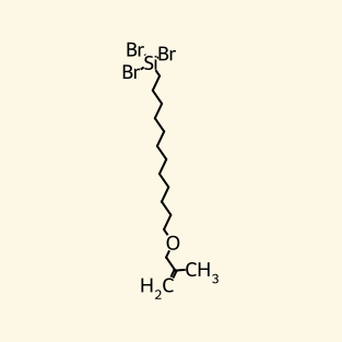 C=C(C)COCCCCCCCCCCCC[Si](Br)(Br)Br